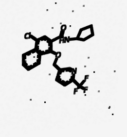 O=C(NC1CCCC1)c1cc(Cl)c2ccccc2c1OCc1ccc(C(F)(F)F)nc1